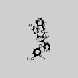 Cc1ccc(Oc2ncccc2C(=O)N[C@H](COCc2ccccc2)C(=O)N2CCN(C)CC2)cc1C